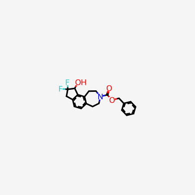 O=C(OCc1ccccc1)N1CCc2ccc3c(c2CC1)C(O)C(F)(F)C3